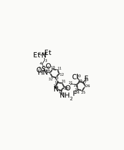 CCN(CC)CCS(=O)(=O)Nc1cccc(-c2cnc(N)c(OCc3c(F)ccc(F)c3Cl)c2)c1